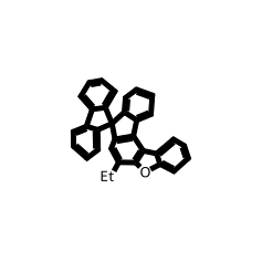 CCc1cc2c(c3c1oc1ccccc13)-c1ccccc1C21c2ccccc2-c2ccccc21